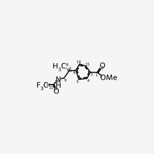 COC(=O)c1ccc([C@@H](C)CNC(=O)C(F)(F)F)cc1